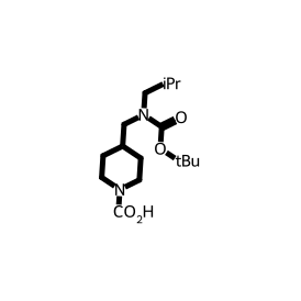 CC(C)CN(CC1CCN(C(=O)O)CC1)C(=O)OC(C)(C)C